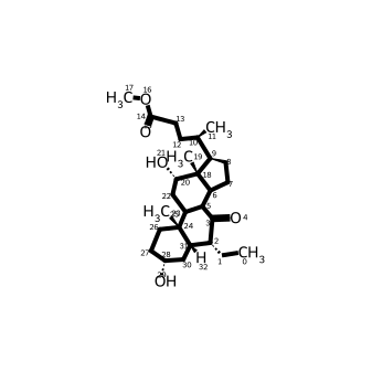 CC[C@H]1C(=O)C2C3CC[C@H]([C@H](C)CCC(=O)OC)[C@@]3(C)[C@@H](O)CC2[C@@]2(C)CC[C@@H](O)C[C@@H]12